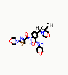 C#CC1(C)COCCN1Cc1ccc(NC(=O)c2csc(N3CCOCC3)n2)c(C(=O)NC2CCOCC2)c1